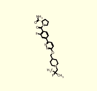 CC(C)(F)CN1CCC(COc2ccc(-c3ccc(C(=O)N4CCC[C@H]4C(N)=O)c(F)c3)nn2)CC1